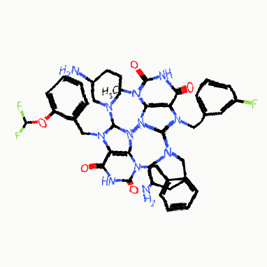 Cn1c2c(c(=O)[nH]c1=O)N(Cc1cccc(F)c1)C(N1CCCC(N)C1)N2N1c2c(c(=O)[nH]c(=O)n2Cc2ccccc2)N(Cc2ccccc2OC(F)F)C1N1CCCC(N)C1